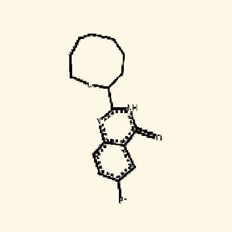 O=c1[nH]c(C2CCCCCCCC2)nc2ccc(Br)cc12